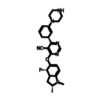 C[C@@H]1CC2C(=CC=C(Oc3ncnc([C@@H]4C=C(N5CCNCC5)C=CC4)c3C#N)[C@H]2F)N1C